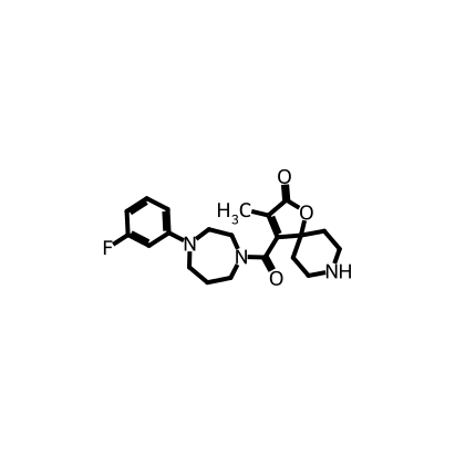 CC1=C(C(=O)N2CCCN(c3cccc(F)c3)CC2)C2(CCNCC2)OC1=O